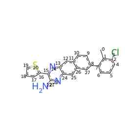 Cc1c(Cl)cccc1-c1ccc2cc3nc(-c4cccs4)c(N)nc3cc2c1